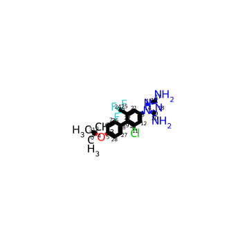 CC(C)(C)Oc1ccc(-c2c(Cl)cc(-n3nc(N)nc3N)cc2C(F)(F)F)cc1